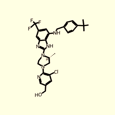 C[C@@H]1CN(c2ncc(CO)cc2Cl)CCN1c1nc2cc(C(F)(F)F)cc(NCc3ccc(C(C)(C)C)cc3)c2[nH]1